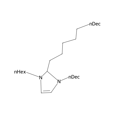 CCCCCCCCCCCCCCCC1N(CCCCCC)C=CN1CCCCCCCCCC